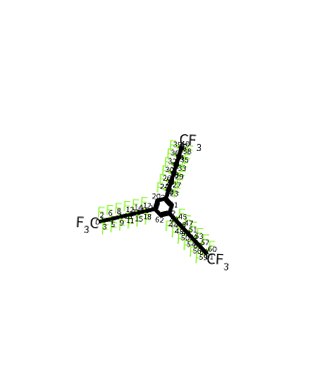 FC(F)(F)C(F)(F)C(F)(F)C(F)(F)C(F)(F)C(F)(F)C(F)(F)c1cc(C(F)(F)C(F)(F)C(F)(F)C(F)(F)C(F)(F)C(F)(F)C(F)(F)F)cc(C(F)(F)C(F)(F)C(F)(F)C(F)(F)C(F)(F)C(F)(F)C(F)(F)F)c1